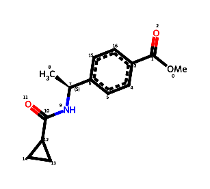 COC(=O)c1ccc([C@H](C)NC(=O)C2CC2)cc1